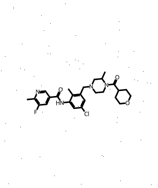 Cc1ncc(C(=O)Nc2cc(Cl)cc(CN3CCN(C(=O)C4CCOCC4)C(C)C3)c2C)cc1F